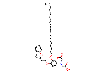 CCCCCCCCCCCCCCCCCCOc1cc(N(CC(=O)O)CC(=O)O)ccc1OCCC(CC)Oc1ccccc1